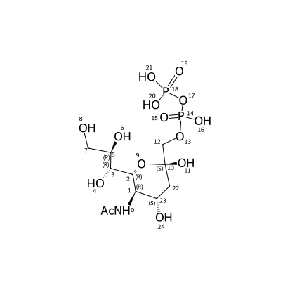 CC(=O)N[C@H]1[C@H]([C@H](O)[C@H](O)CO)O[C@](O)(COP(=O)(O)OP(=O)(O)O)C[C@@H]1O